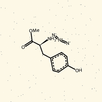 COC(=O)[C@@H](N)Cc1ccc(O)cc1.[N-]=[N+]=[N-]